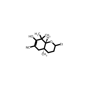 CCC1CC[C@@]2(C)CC(C#N)=C(O)C(C)(C)[C@@H]2O1